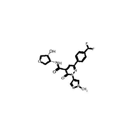 Cn1cc(-n2nc(-c3ccc(C(F)F)cc3)cc(C(=O)N[C@@H]3COC[C@@H]3O)c2=O)cn1